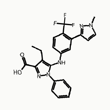 CCc1c(C(=O)O)nn(-c2ccccc2)c1Nc1ccc(C(F)(F)F)c(-c2ccn(C)n2)c1